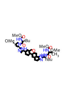 CCCC[C@H](NC(=O)[C@@H](NC(=O)OC)[C@@H](C)OC)c1nc2ccc3cc4c(cc3c2[nH]1)OCc1cc(-c2cnc([C@@H]3C[C@H](COC)CN3C(=O)[C@@H](NC(=O)OC)C(C)CC)[nH]2)ccc1-4